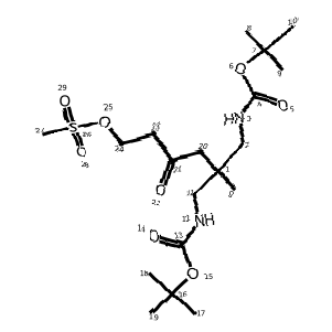 CC(CNC(=O)OC(C)(C)C)(CNC(=O)OC(C)(C)C)CC(=O)CCOS(C)(=O)=O